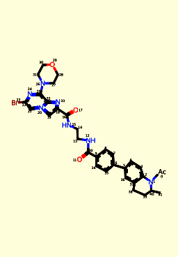 CC(=O)N1c2ccc(-c3ccc(C(=O)NCCNC(=O)c4cn5cc(Br)nc(N6CCOCC6)c5n4)cc3)cc2CCC1C